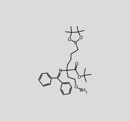 BOCCC(CCCCB1OC(C)(C)C(C)(C)O1)(N=C(c1ccccc1)c1ccccc1)C(=O)OC(C)(C)C